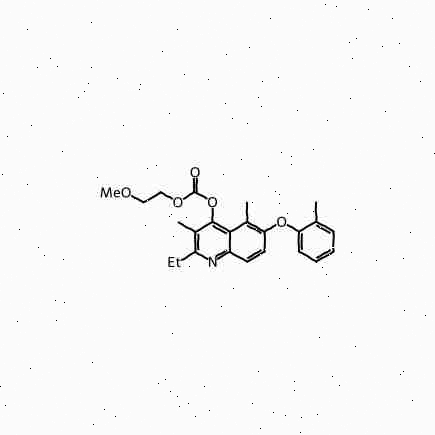 CCc1nc2ccc(Oc3ccccc3C)c(C)c2c(OC(=O)OCCOC)c1C